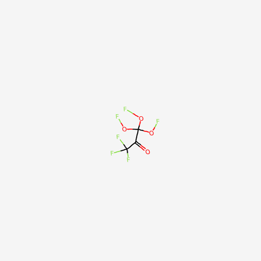 O=C(C(F)(F)F)C(OF)(OF)OF